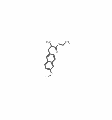 CCOC(=O)C(C)Cc1ccc2cc(OC)ccc2c1